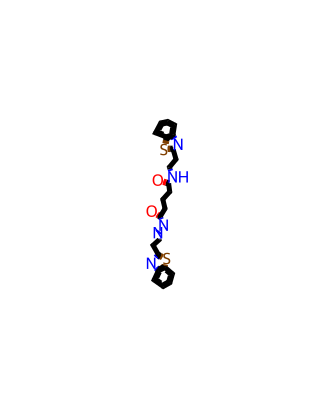 O=C(CCCC(=O)NCCc1nc2ccccc2s1)N=NCCc1nc2ccccc2s1